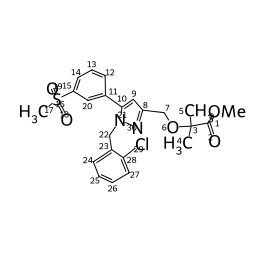 COC(=O)C(C)(C)OCc1cc(-c2cccc(S(C)(=O)=O)c2)n(Cc2ccccc2Cl)n1